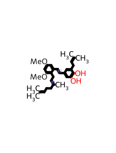 COc1cc(/C=C/c2cc(O)c(O)c(CC=C(C)C)c2)c(C/C=C(\C)CCC=C(C)C)c(OC)c1